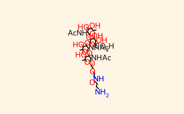 CC(=O)N[C@H]1C(O)[C@H](O)C(C)O[C@H]1O[C@H]1C(O)[C@H](O)C(C(=O)O)O[C@H]1OC1[C@H](O)C(C)O[C@@H](OC2[C@@H](O)C(C)O[C@@H](OCCOCCNC(=O)CCCN)[C@H]2NC(C)=O)[C@H]1NC(C)=O